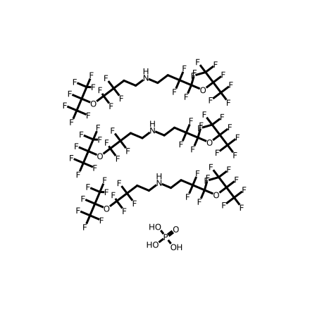 FC(F)(F)C(F)(OC(F)(F)C(F)(F)CCNCCC(F)(F)C(F)(F)OC(F)(C(F)(F)F)C(F)(F)F)C(F)(F)F.FC(F)(F)C(F)(OC(F)(F)C(F)(F)CCNCCC(F)(F)C(F)(F)OC(F)(C(F)(F)F)C(F)(F)F)C(F)(F)F.FC(F)(F)C(F)(OC(F)(F)C(F)(F)CCNCCC(F)(F)C(F)(F)OC(F)(C(F)(F)F)C(F)(F)F)C(F)(F)F.O=P(O)(O)O